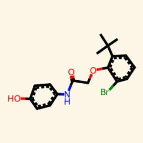 CC(C)(C)c1cccc(Br)c1OCC(=O)Nc1ccc(O)cc1